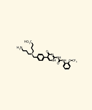 NCCCN(CCCC(=O)O)Cc1ccc(-c2c[nH]c(NC(=O)Nc3ccccc3OC(F)(F)F)nc2=O)cc1